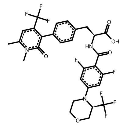 Cc1cc(C(F)(F)F)c(-c2ccc(C[C@H](NC(=O)c3c(F)cc(N4CCOC[C@@H]4C(F)(F)F)cc3F)C(=O)O)cc2)c(=O)n1C